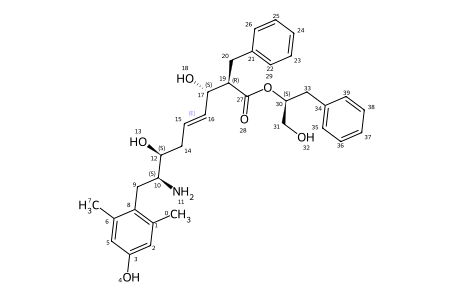 Cc1cc(O)cc(C)c1C[C@H](N)[C@@H](O)C/C=C/[C@H](O)[C@@H](Cc1ccccc1)C(=O)O[C@H](CO)Cc1ccccc1